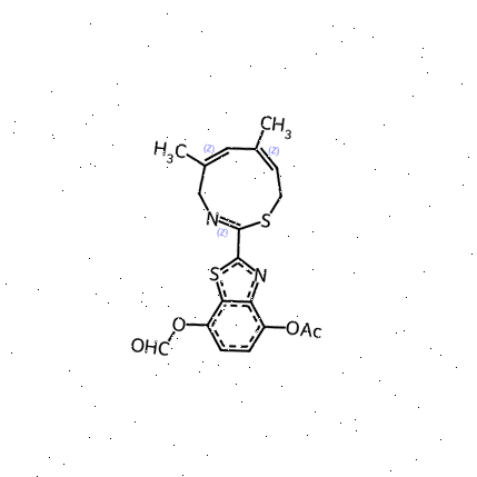 CC(=O)Oc1ccc(OC=O)c2sc(/C3=N/C/C(C)=C\C(C)=C/CS3)nc12